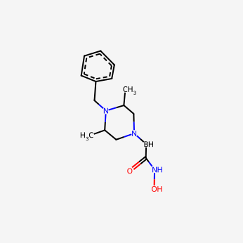 CC1CN(BC(=O)NO)CC(C)N1Cc1ccccc1